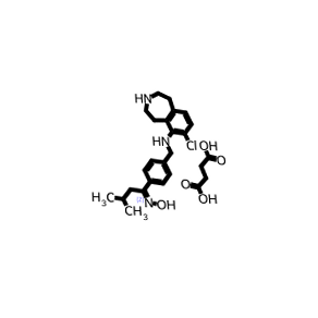 CC(C)C/C(=N/O)c1ccc(CNc2c(Cl)ccc3c2CCNCC3)cc1.O=C(O)CCC(=O)O